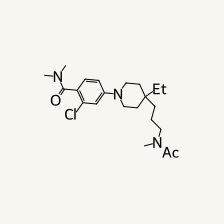 CCC1(CCCN(C)C(C)=O)CCN(c2ccc(C(=O)N(C)C)c(Cl)c2)CC1